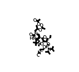 [C-]#[N+]CCOP(OC1[C@@H](CC)O[C@@H](c2cn(CC(COC(C)=O)OC(C)=O)c(=O)[nH]c2=O)[C@H]1O[Si](C)(C)C(C)(C)C)N(C(C)C)C(C)C